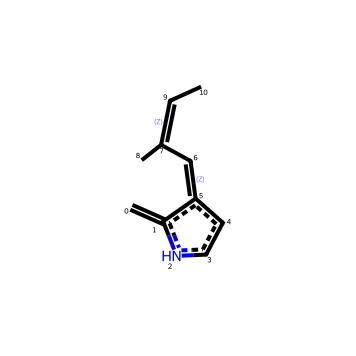 C=c1[nH]cc/c1=C/C(C)=C\C